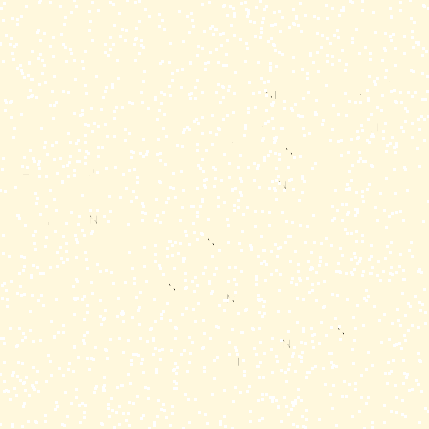 Cn1cncc1-c1cc(C=NN(CCC(C)(C)O)C(N)=S)nc(NC2CCN(S(C)(=O)=O)CC2)n1